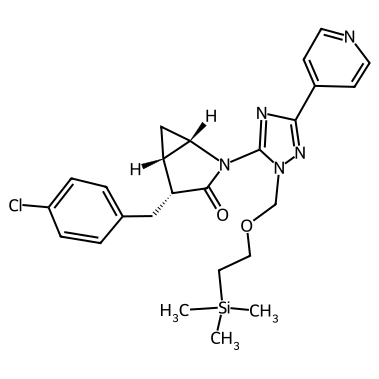 C[Si](C)(C)CCOCn1nc(-c2ccncc2)nc1N1C(=O)[C@H](Cc2ccc(Cl)cc2)[C@@H]2C[C@@H]21